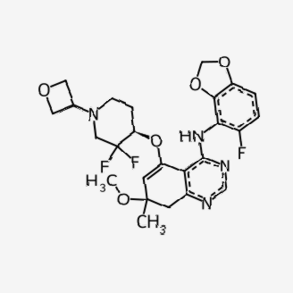 COC1(C)C=C(O[C@@H]2CCN(C3COC3)CC2(F)F)c2c(ncnc2Nc2c(F)ccc3c2OCO3)C1